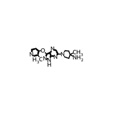 Cc1cnccc1Oc1n[nH]c2nc(N3CCC(C)(N)CC3)cnc12